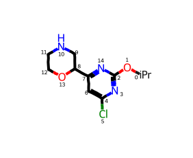 CC(C)Oc1nc(Cl)cc(C2CNCCO2)n1